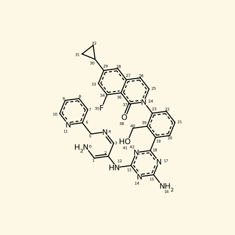 N/C=C(\C=N/Cc1ccccn1)Nc1nc(N)nc(-c2cccc(-n3ccc4cc(C5CC5)cc(F)c4c3=O)c2CO)n1